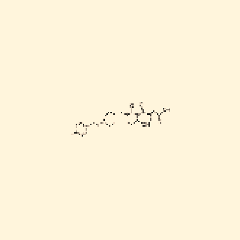 O=C(O)CNC(=O)C1=C(O)CCN(C[C@H]2CC[C@H](OCc3ccc(F)cc3)CC2)C1=O